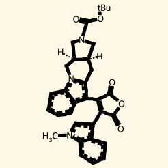 Cn1cc(C2=C(c3c4n(c5ccccc35)C[C@H]3CN(C(=O)OC(C)(C)C)C[C@H]3C4)C(=O)OC2=O)c2ccccc21